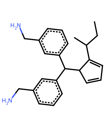 CCC(C)C1=CC=C[C]1C(c1cccc(CN)c1)c1cccc(CN)c1